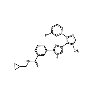 Cc1onc(-c2cccc(F)c2)c1-c1c[nH]c(-c2cccc(C(=O)NCC3CC3)c2)n1